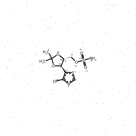 CC1(C)O[C@H](c2scnc2Cl)[C@@H](COS(N)(=O)=O)O1